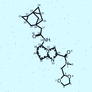 CN(CC1OCCO1)C(=O)c1cn2c(NC(=O)CC34CC5CC5C5(CC5C3)C4)cccc2n1